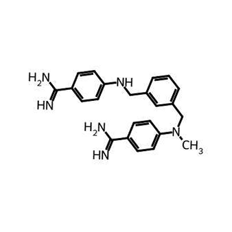 CN(Cc1cccc(CNc2ccc(C(=N)N)cc2)c1)c1ccc(C(=N)N)cc1